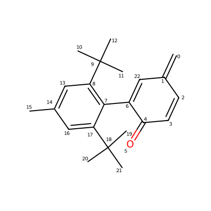 C=C1C=CC(=O)C(c2c(C(C)(C)C)cc(C)cc2C(C)(C)C)=C1